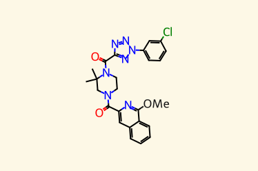 COc1nc(C(=O)N2CCN(C(=O)c3nnn(-c4cccc(Cl)c4)n3)C(C)(C)C2)cc2ccccc12